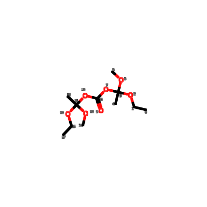 CCOC(C)(OC)OC(=O)OC(C)(OC)OCC